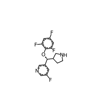 Fc1cncc([C@@H](Oc2c(F)cc(F)cc2F)C2CCNC2)c1